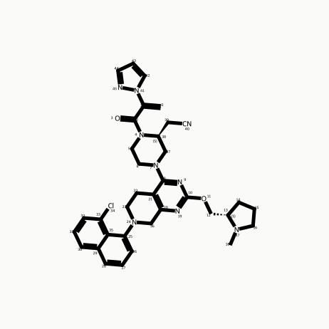 C=C(C(=O)N1CCN(c2nc(OC[C@@H]3CCCN3C)nc3c2CCN(c2cccc4cccc(Cl)c24)C3)C[C@@H]1CC#N)n1cccn1